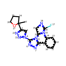 CC1(c2cn(-c3nnc4c5ccccc5n5c(F)ncc5n34)nn2)CCCO1